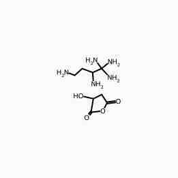 NCCC(N)C(N)(N)N.O=C1CC(O)C(=O)O1